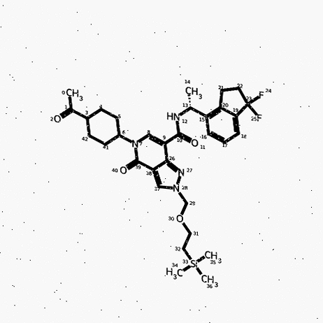 CC(=O)C1CCC(n2cc(C(=O)N[C@H](C)c3cccc4c3CCC4(F)F)c3nn(COCC[Si](C)(C)C)cc3c2=O)CC1